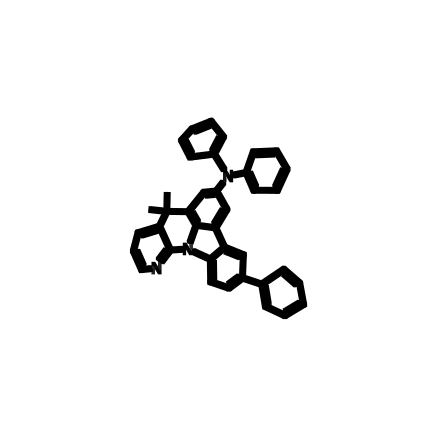 CC1(C)c2cccnc2-n2c3ccc(-c4ccccc4)cc3c3cc(N(c4ccccc4)c4ccccc4)cc1c32